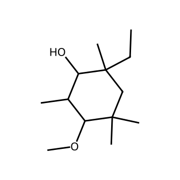 CCC1(C)CC(C)(C)C(OC)C(C)C1O